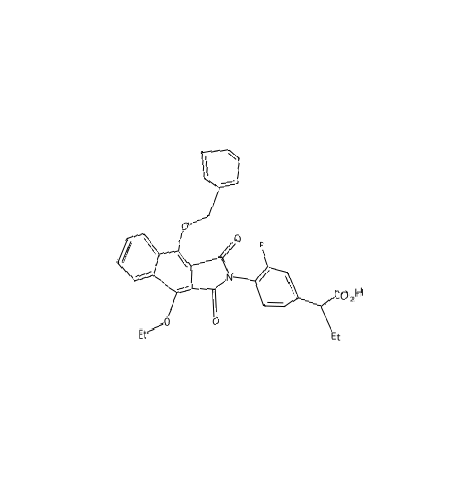 CCOc1c2c(c(OCc3ccccc3)c3ccccc13)C(=O)N(c1ccc(C(CC)C(=O)O)cc1F)C2=O